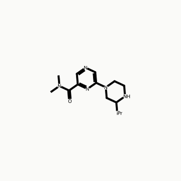 CC(C)C1CN(c2cncc(C(=O)N(C)C)n2)CCN1